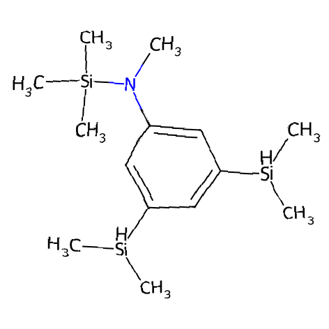 CN(c1cc([SiH](C)C)cc([SiH](C)C)c1)[Si](C)(C)C